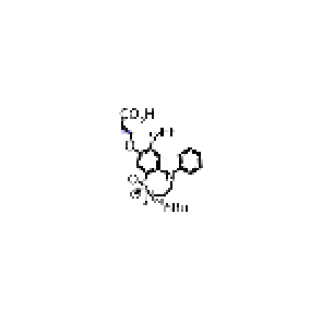 CCCC[C@H]1CN(c2ccccc2)c2cc(SCC)c(O/C=C/C(=O)O)cc2S(=O)(=O)N1C